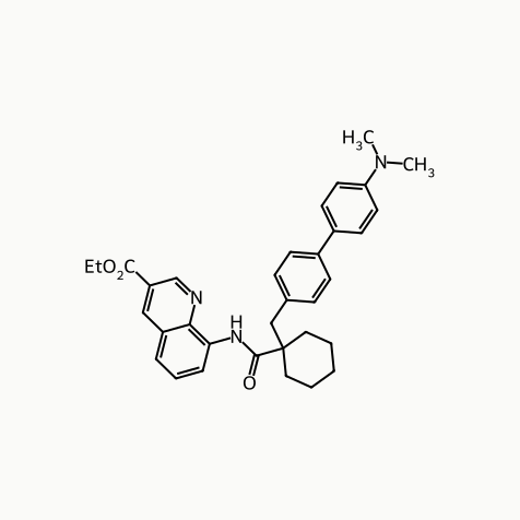 CCOC(=O)c1cnc2c(NC(=O)C3(Cc4ccc(-c5ccc(N(C)C)cc5)cc4)CCCCC3)cccc2c1